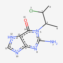 CC(Cl)C(C)n1c(N)nc2nc[nH]c2c1=O